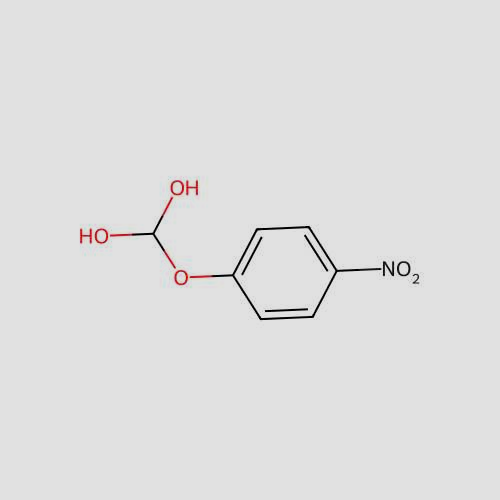 O=[N+]([O-])c1ccc(OC(O)O)cc1